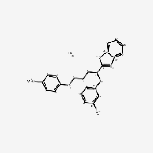 COc1ccc(OCCCN(Cc2cccc(O)c2)c2nc3ccccc3o2)cc1.Cl